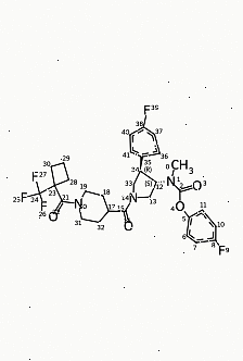 CN(C(=O)Oc1ccc(F)cc1)[C@@H]1CN(C(=O)C2CCN(C(=O)C3(C(F)(F)F)CCC3)CC2)C[C@H]1c1ccc(F)cc1